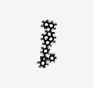 c1ccc(-n2c(-c3ccc(-c4cc5ccc6cc(-c7cccc8cccnc78)cc7ccc(c4)c5c67)cc3)nc3ccccc32)cc1